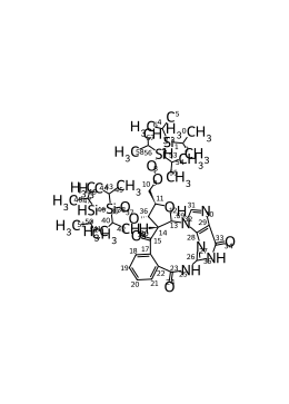 CC(C)[SiH](C(C)C)[Si](OOC[C@H]1O[C@@H]2[C@H](C(=O)c3ccccc3C(=O)Nc3nc4c(ncn42)c(=O)[nH]3)[C@@H]1OO[Si](C(C)C)(C(C)C)[SiH](C(C)C)C(C)C)(C(C)C)C(C)C